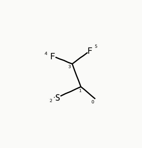 CC([S])C(F)F